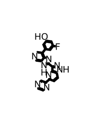 Oc1cc(F)cc(-c2cncc3[nH]c(-c4n[nH]c5ccc(-c6cnccn6)nc45)nc23)c1